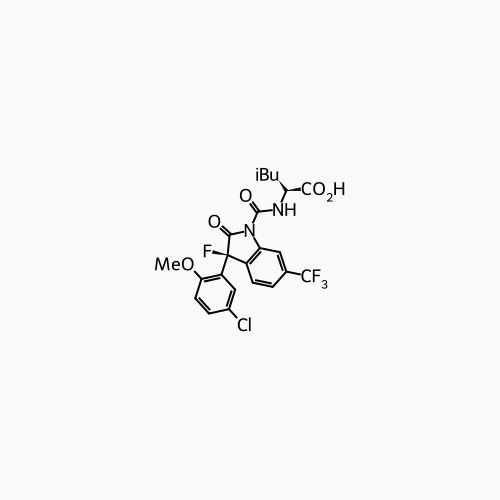 CC[C@H](C)[C@H](NC(=O)N1C(=O)[C@@](F)(c2cc(Cl)ccc2OC)c2ccc(C(F)(F)F)cc21)C(=O)O